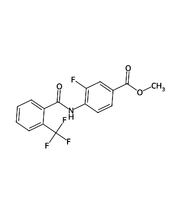 COC(=O)c1ccc(NC(=O)c2ccccc2C(F)(F)F)c(F)c1